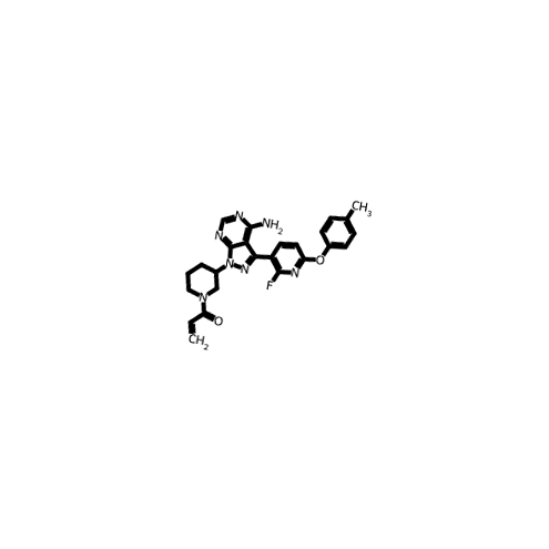 C=CC(=O)N1CCCC(n2nc(-c3ccc(Oc4ccc(C)cc4)nc3F)c3c(N)ncnc32)C1